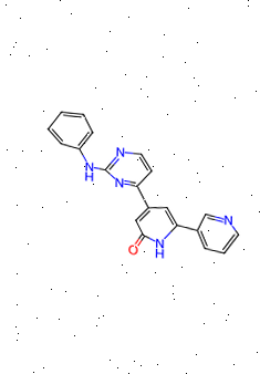 O=c1cc(-c2ccnc(Nc3ccccc3)n2)cc(-c2cccnc2)[nH]1